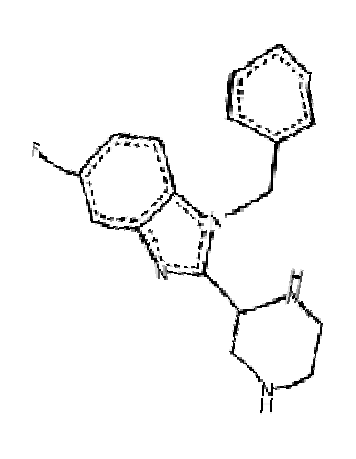 Fc1ccc2c(c1)nc(C1CNCCN1)n2Cc1ccccc1